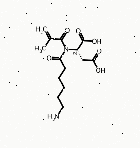 C=C(C)C(=O)N(C(=O)CCCCCN)[C@@H](CC(=O)O)C(=O)O